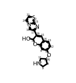 OC1Oc2cc(O[C@@H]3CCNC3)ccc2C=C1c1cn2ccsc2n1